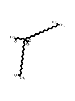 CC(C)CCCCCCCCCCCCCCC(CCCCCCCCCCCCCCC(C)C)(CCCC(=O)O)C(=O)O